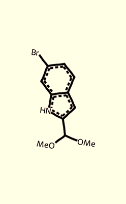 COC(OC)c1cc2ccc(Br)cc2[nH]1